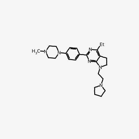 CCc1nc(-c2ccc(N3CCN(C)CC3)cc2)nc2c1CCN2CCN1CCCC1